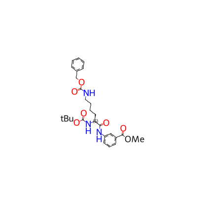 COC(=O)c1cccc(NC(=O)[C@H](CCCCNC(=O)OCc2ccccc2)NC(=O)OC(C)(C)C)c1